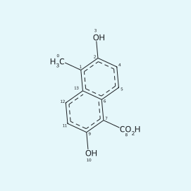 Cc1c(O)ccc2c(C(=O)O)c(O)ccc12